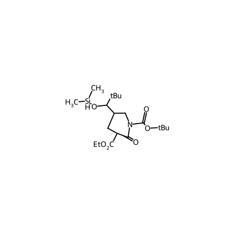 CCOC(=O)C1CC(C(O[SiH](C)C)C(C)(C)C)CN(C(=O)OC(C)(C)C)C1=O